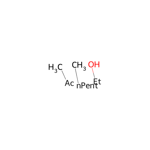 CC(C)=O.CCCCCC.CCO